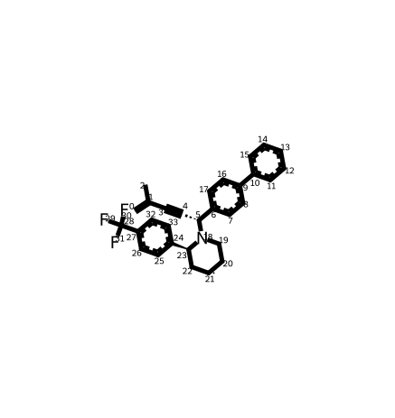 C=C(C)C#C[C@H](c1ccc(-c2ccccc2)cc1)N1CC[CH]C[C@H]1c1ccc(C(F)(F)F)cc1